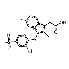 Cc1c(CC(=O)O)c2ccc(F)cn2c1Sc1ccc(S(C)(=O)=O)cc1Cl